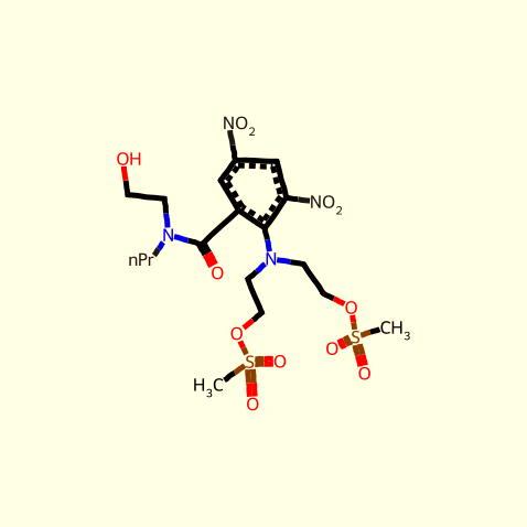 CCCN(CCO)C(=O)c1cc([N+](=O)[O-])cc([N+](=O)[O-])c1N(CCOS(C)(=O)=O)CCOS(C)(=O)=O